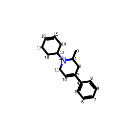 CC1CC(c2ccccc2)=CCN1C1CC=CCC1